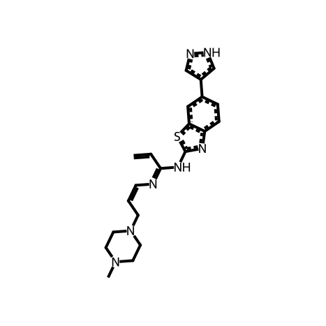 C=C/C(=N\C=C/CN1CCN(C)CC1)Nc1nc2ccc(-c3cn[nH]c3)cc2s1